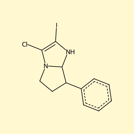 ClC1=C(I)NC2C(c3ccccc3)CCN12